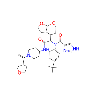 C=C(C1CCOC1)N1CCC(NC(=O)C(C2CCOC3OCCC32)N(C(=O)c2c[nH]cn2)c2ccc(C(C)(C)C)cc2)CC1